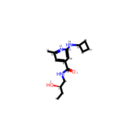 CC[C@@H](O)CNC(=O)c1cc(C)nc(NC2CCC2)c1